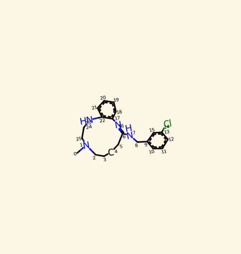 CN1CCCC/C(NCc2cccc(Cl)c2)=N\c2ccccc2NCC1